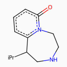 CC(C)C1CNCCn2c1cccc2=O